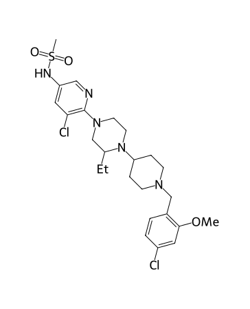 CCC1CN(c2ncc(NS(C)(=O)=O)cc2Cl)CCN1C1CCN(Cc2ccc(Cl)cc2OC)CC1